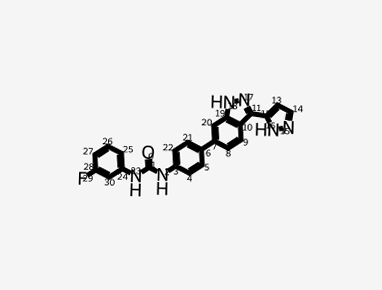 O=C(Nc1ccc(-c2ccc3c(-c4ccn[nH]4)n[nH]c3c2)cc1)Nc1cccc(F)c1